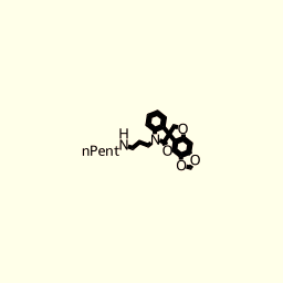 CCCCCNCCCN1C(=O)C2(COc3cc4c(cc32)OCO4)c2ccccc21